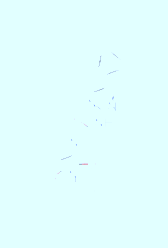 CN1C(=O)C2=C(C1=O)N(CC(=O)Nc1ncc(-c3ccccc3)cn1)CCC2